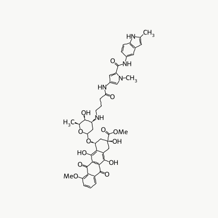 COC(=O)[C@]1(O)Cc2c(O)c3c(c(O)c2[C@@H](OC2C[C@H](NCCCC(=O)Nc4cc(C(=O)Nc5ccc6[nH]c(C)cc6c5)n(C)c4)[C@H](O)[C@H](C)O2)C1)C(=O)c1c(OC)cccc1C3=O